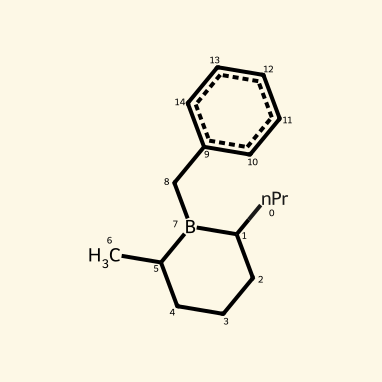 CCCC1CCCC(C)B1Cc1ccccc1